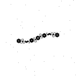 O=C(OCCCSc1ccc(OC(=O)[C@H]2CC[C@H](C(=O)Oc3ccc(SCCCOC(=O)Oc4ccccc4)cc3)CC2)cc1)Oc1ccccc1